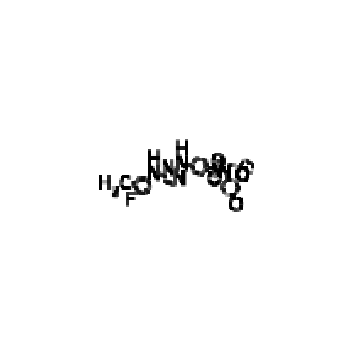 Cc1cc(Nc2ccnc(Nc3ccc(S(=O)(=O)N(CC4CCCO4)C4CCC(=O)CC4)cc3)n2)ccc1F